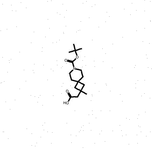 CC1(CC(=O)O)CC2(CCN(C(=O)OC(C)(C)C)CC2)C1